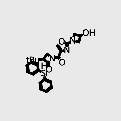 CC(C)(C)C1CN(C(=O)c2coc(N3CC(O)C3)n2)C1O[SiH](c1ccccc1)c1ccccc1